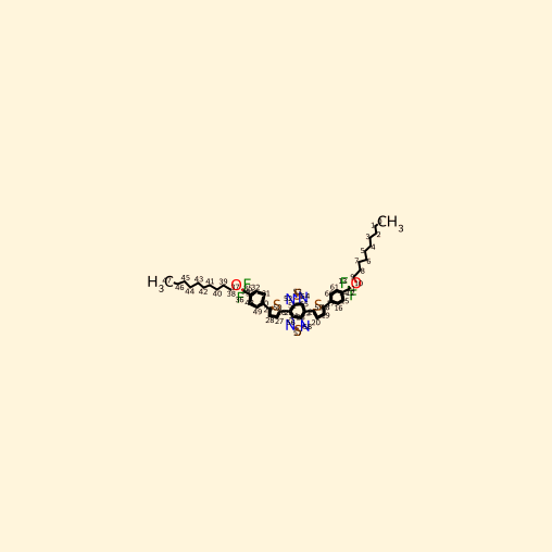 CCCCCCCCCCOC(F)(F)c1ccc(-c2ccc(-c3c4c(c(-c5ccc(-c6ccc(C(F)(F)OCCCCCCCCCC)cc6)s5)c5nsnc35)N=S=N4)s2)cc1